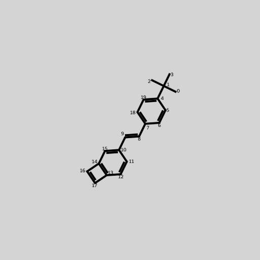 CC(C)(C)c1ccc(C=Cc2ccc3c(c2)C=C3)cc1